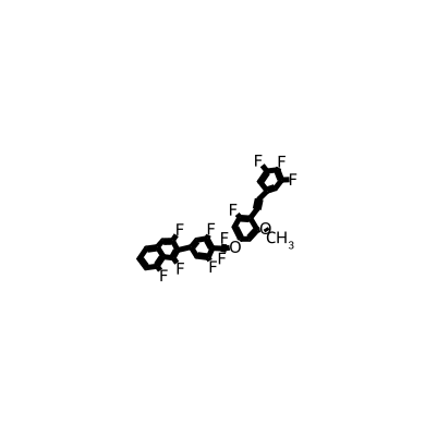 COc1cc(OC(F)(F)c2c(F)cc(-c3c(F)cc4cccc(F)c4c3F)cc2F)cc(F)c1C#Cc1cc(F)c(F)c(F)c1